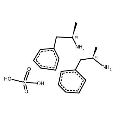 C[C@@H](N)Cc1ccccc1.C[C@@H](N)Cc1ccccc1.O=S(=O)(O)O